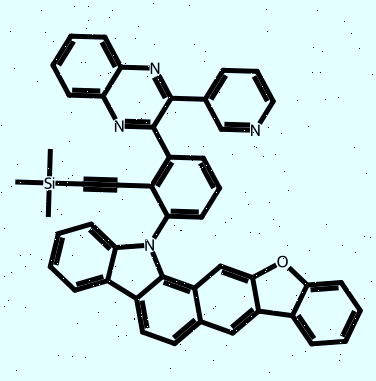 C[Si](C)(C)C#Cc1c(-c2nc3ccccc3nc2-c2cccnc2)cccc1-n1c2ccccc2c2ccc3cc4c(cc3c21)oc1ccccc14